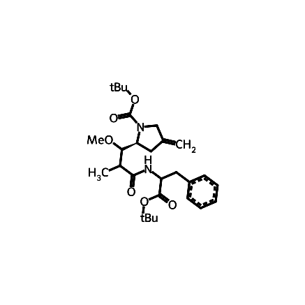 C=C1C[C@@H](C(OC)C(C)C(=O)NC(Cc2ccccc2)C(=O)OC(C)(C)C)N(C(=O)OC(C)(C)C)C1